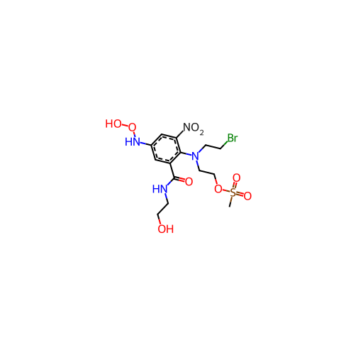 CS(=O)(=O)OCCN(CCBr)c1c(C(=O)NCCO)cc(NOO)cc1[N+](=O)[O-]